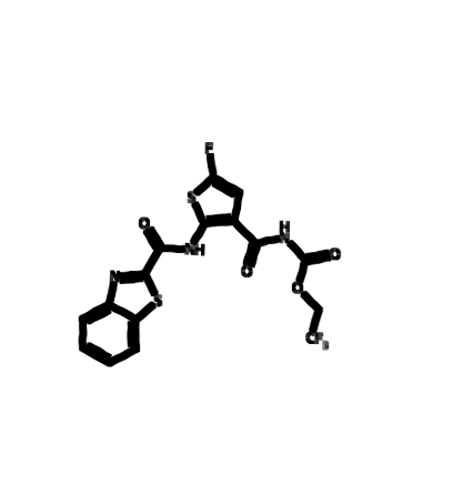 O=C(NC(=O)c1cc(F)sc1NC(=O)c1nc2ccccc2s1)OCC(F)(F)F